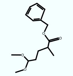 COC(CCC(C)C(=O)OCc1ccccc1)OC